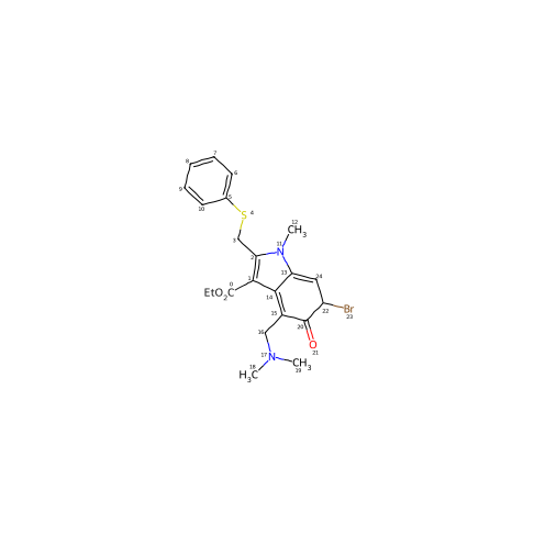 CCOC(=O)c1c(CSc2ccccc2)n(C)c2c1=C(CN(C)C)C(=O)C(Br)C=2